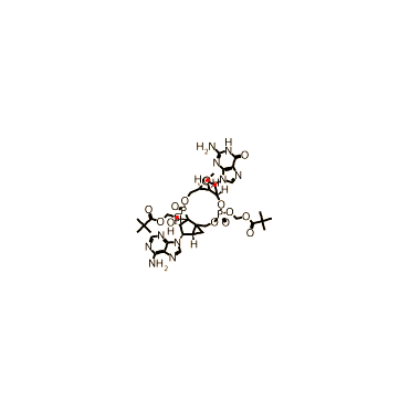 CO[C@H]1[C@H]2O[P@@](=O)(OCOC(=O)C(C)(C)C)OCC34C[C@@H]3[C@@H](n3cnc5c(N)ncnc53)[C@H](O)[C@@H]4[P@@](=O)(SCOC(=O)C(C)(C)C)OC[C@H]1O[C@H]2n1cnc2c(=O)[nH]c(N)nc21